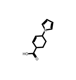 O=C(O)C1C=CC(n2cccc2)CC1